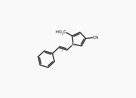 N#Cc1cc(C(=O)O)n(/C=C/c2ccccc2)c1